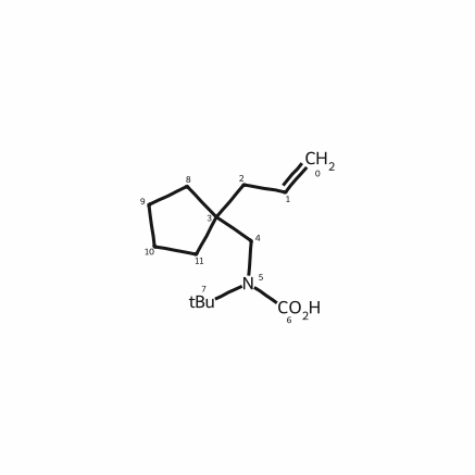 C=CCC1(CN(C(=O)O)C(C)(C)C)CCCC1